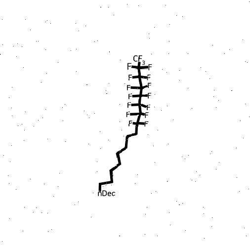 CCCCCCCCCCCCCCCCCCC(F)(F)C(F)(F)C(F)(F)C(F)(F)C(F)(F)C(F)(F)C(F)(F)C(F)(F)F